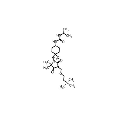 CC(C)NC(=O)NC1CCC(C)(CN2C(=O)N(COCC[Si](C)(C)C)C(=O)C2(C)C)CC1